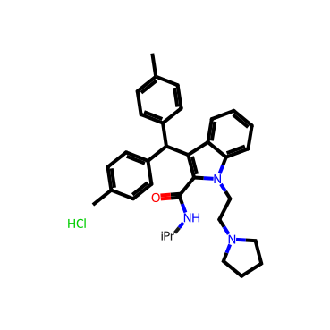 Cc1ccc(C(c2ccc(C)cc2)c2c(C(=O)NC(C)C)n(CCN3CCCC3)c3ccccc23)cc1.Cl